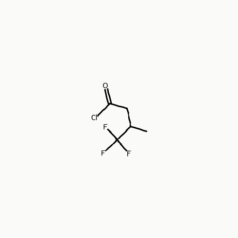 CC(CC(=O)Cl)C(F)(F)F